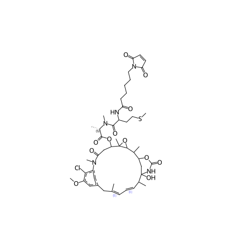 COc1cc2cc(c1Cl)N(C)C(=O)CC(OC(=O)[C@H](C)N(C)C(=O)C(CCSC)NC(=O)CCCCCN1C(=O)C=CC1=O)C1(C)OC1C(C)C1CC(O)(NC(=O)O1)C(C)/C=C/C=C(\C)C2